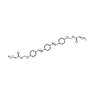 C=CC(=O)OCOc1ccc(/C=N/c2ccc(/N=C/c3ccc(OCOC(=O)C=C)cc3)cc2)cc1